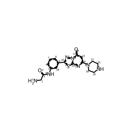 NCC(=O)Nc1cccc(-c2nn3c(=O)cc(N4CCNCC4)nc3s2)c1